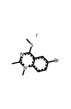 CSc1nc(C)[n+](C)c2ccc(Br)cc12.[I-]